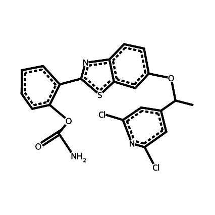 CC(Oc1ccc2nc(-c3ccccc3OC(N)=O)sc2c1)c1cc(Cl)nc(Cl)c1